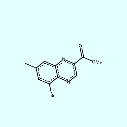 COC(=O)c1cnc2c(Br)cc(C)cc2n1